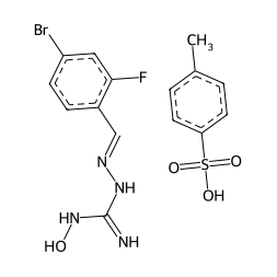 Cc1ccc(S(=O)(=O)O)cc1.N=C(NO)N/N=C/c1ccc(Br)cc1F